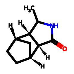 CC1NC(=O)[C@H]2[C@H]3CC[C@@H](C3)[C@@H]12